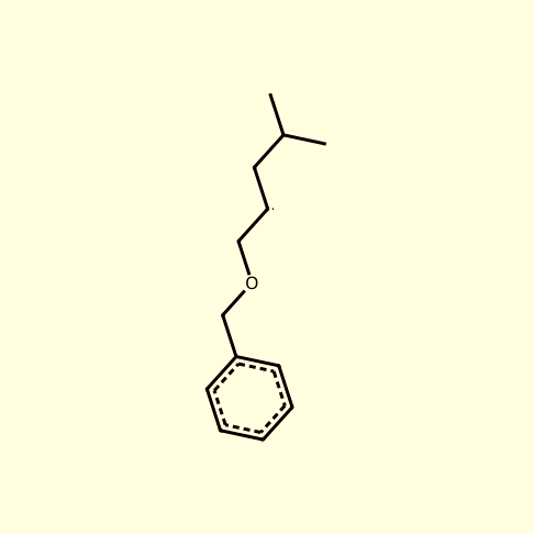 CC(C)C[CH]COCc1ccccc1